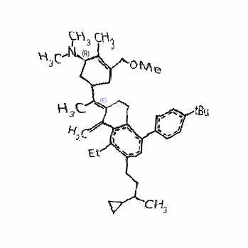 C=C1/C(=C(\C)C2CC(COC)=C(C)[C@H](N(C)C)C2)CCc2c(-c3ccc(C(C)(C)C)cc3)cc(CCC(C)C3CC3)c(CC)c21